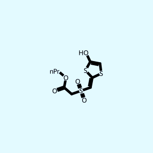 CCCOC(=O)CS(=O)(=O)C=C1SC=C(O)S1